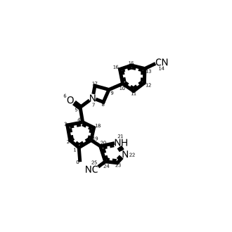 Cc1ccc(C(=O)N2CC(c3ccc(C#N)cc3)C2)cc1-c1[nH]ncc1C#N